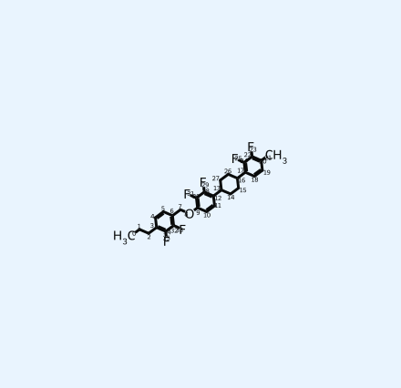 CCCc1ccc(COc2ccc(C3CCC(c4ccc(C)c(F)c4F)CC3)c(F)c2F)c(F)c1F